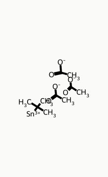 CC(=O)[O-].CC(=O)[O-].CC(=O)[O-].C[C](C)(C)[Sn+3]